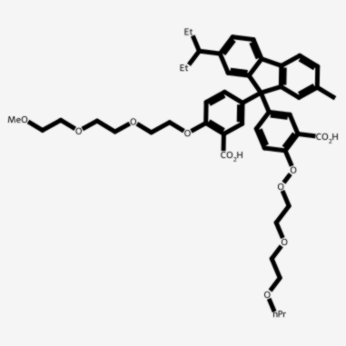 CCCOCCOCCOOc1ccc(C2(c3ccc(OCCOCCOCCOC)c(C(=O)O)c3)c3cc(C)ccc3-c3ccc(C(CC)CC)cc32)cc1C(=O)O